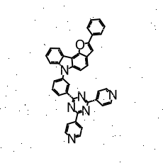 c1ccc(-c2cc3ccc4c(c5ccccc5n4-c4cccc(-c5nc(-c6ccncc6)nc(-c6ccncc6)n5)c4)c3o2)cc1